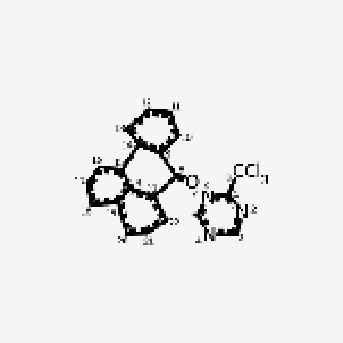 ClC(Cl)(Cl)c1ncncn1.O=C1c2ccccc2-c2cccc3cccc1c23